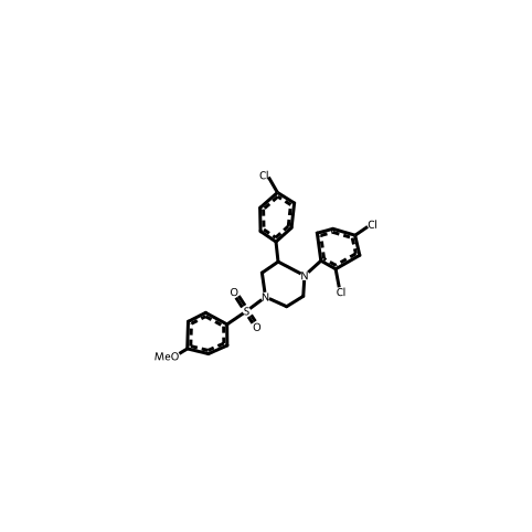 COc1ccc(S(=O)(=O)N2CCN(c3ccc(Cl)cc3Cl)C(c3ccc(Cl)cc3)C2)cc1